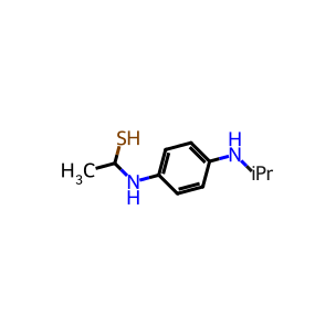 CC(C)Nc1ccc(NC(C)S)cc1